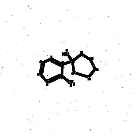 OC1(c2ccccc2C(F)(F)F)CCCCC1